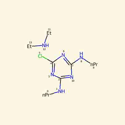 CCCNc1nc(Cl)nc(NCCC)n1.CCNCC